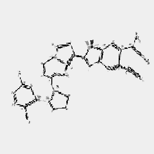 N#Cc1cc2nc(-c3cnn4ccc(N5CCC[C@@H]5c5cc(F)ccc5F)nc34)[nH]c2cc1C(N)=O